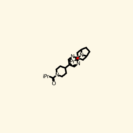 CC(C)C(=O)N1CCC(c2cnc(N3C4CCC3CN(C(C)C)C4)nc2)CC1